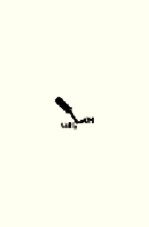 C#CCO.[CaH2]